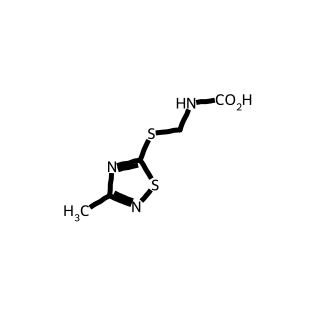 Cc1nsc(SCNC(=O)O)n1